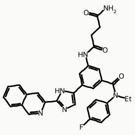 CCN(C(=O)c1cc(NC(=O)CCC(N)=O)cc(-c2cnc(-c3cc4ccccc4cn3)[nH]2)c1)c1ccc(F)cc1